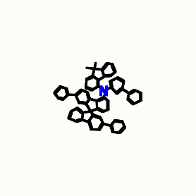 CC1(C)c2ccccc2-c2c(N(c3cccc(-c4ccccc4)c3)c3cccc4c3-c3ccc(-c5ccccc5)cc3C43c4ccccc4-c4ccc(-c5ccccc5)cc43)cccc21